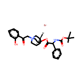 CC(C)(C)OC(=O)NC(C(=O)O[C@H]1C[N+]2(CC(=O)c3ccccc3O)CCC1CC2)c1ccccc1.[Br-]